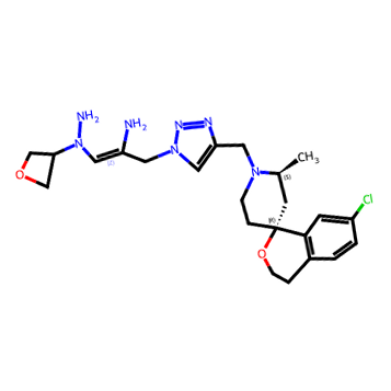 C[C@H]1C[C@@]2(CCN1Cc1cn(C/C(N)=C/N(N)C3COC3)nn1)OCCc1ccc(Cl)cc12